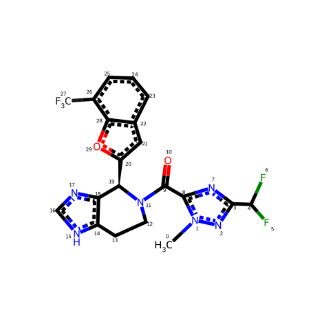 Cn1nc(C(F)F)nc1C(=O)N1CCc2[nH]cnc2[C@H]1c1cc2cccc(C(F)(F)F)c2o1